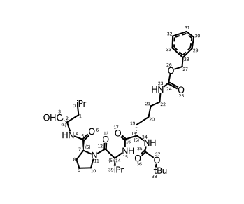 CC(C)C[C@@H](C=O)NC(=O)[C@@H]1CCCN1C(=O)[C@@H](NC(=O)[C@H](CCCCNC(=O)OCc1ccccc1)NC(=O)OC(C)(C)C)C(C)C